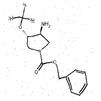 [2H]C([2H])([2H])O[C@H]1CN(C(=O)OCc2ccccc2)C[C@@H]1N